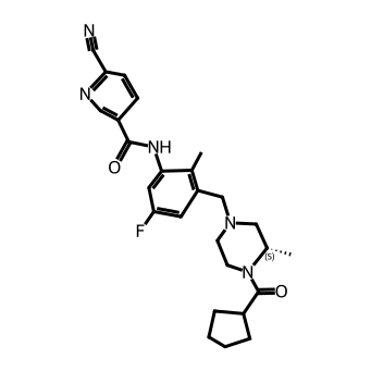 Cc1c(CN2CCN(C(=O)C3CCCC3)[C@@H](C)C2)cc(F)cc1NC(=O)c1ccc(C#N)nc1